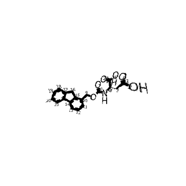 O=C(O)C[C@H](NC(=O)OCc1cccc2c1Cc1ccccc1-2)C(=O)O